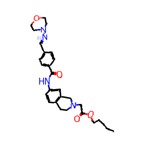 CCCCOC(=O)CN1CCc2ccc(NC(=O)c3ccc(/C=N/N4CCOCC4)cc3)cc2C1